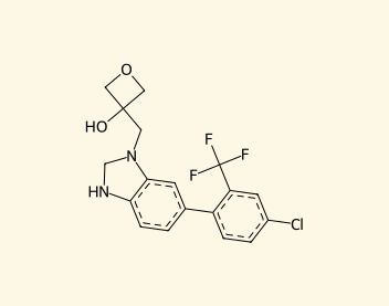 OC1(CN2CNc3ccc(-c4ccc(Cl)cc4C(F)(F)F)cc32)COC1